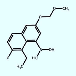 CCc1c(F)ccc2cc(OCOC)cc(B(O)O)c12